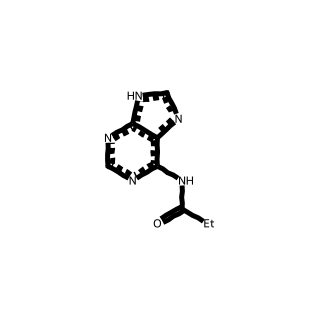 CCC(=O)Nc1ncnc2[nH]cnc12